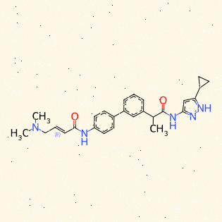 CC(C(=O)Nc1cc(C2CC2)[nH]n1)c1cccc(-c2ccc(NC(=O)/C=C/CN(C)C)cc2)c1